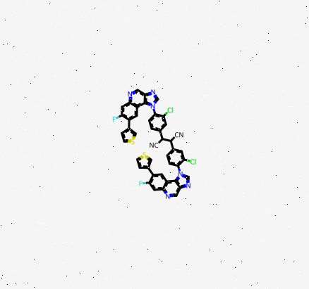 N#CC(c1ccc(-n2cnc3cnc4cc(F)c(-c5ccsc5)cc4c32)c(Cl)c1)C(C#N)c1ccc(-n2cnc3cnc4cc(F)c(-c5ccsc5)cc4c32)c(Cl)c1